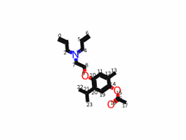 C=CCN(CC=C)CCOc1cc(C)c(OC(C)=O)cc1C(C)C